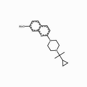 COc1ccc2ccc(N3CCN(C(C)(C)C4CC4)CC3)nc2c1